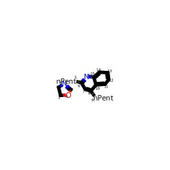 C1=NCCO1.CCCCCc1cc(CCCCC)c2ccccc2n1